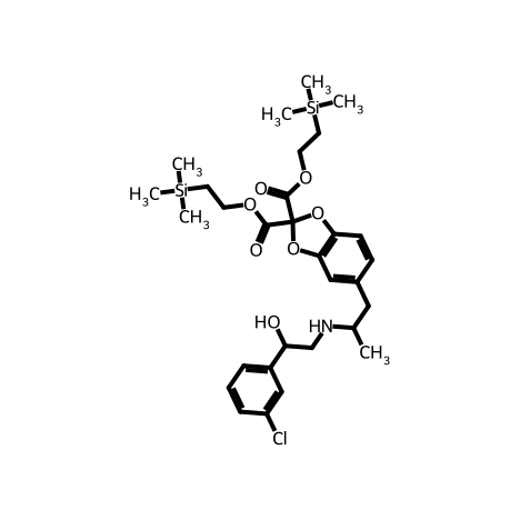 CC(Cc1ccc2c(c1)OC(C(=O)OCC[Si](C)(C)C)(C(=O)OCC[Si](C)(C)C)O2)NCC(O)c1cccc(Cl)c1